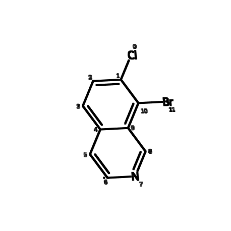 Clc1ccc2c[c]ncc2c1Br